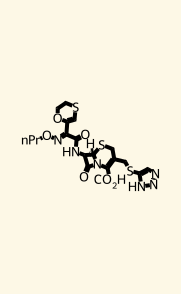 CCCON=C(C(=O)NC1C(=O)N2C(C(=O)O)=C(CSc3cnn[nH]3)CS[C@@H]12)C1=CSCCO1